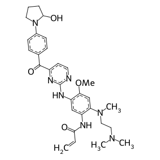 C=CC(=O)Nc1cc(Nc2nccc(C(=O)c3ccc(N4CCCC4O)cc3)n2)c(OC)cc1N(C)CCN(C)C